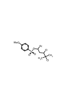 COc1ccc(S(=O)(=O)OC(CC(Cl)C(C)(C)Cl)C(C)=O)cc1